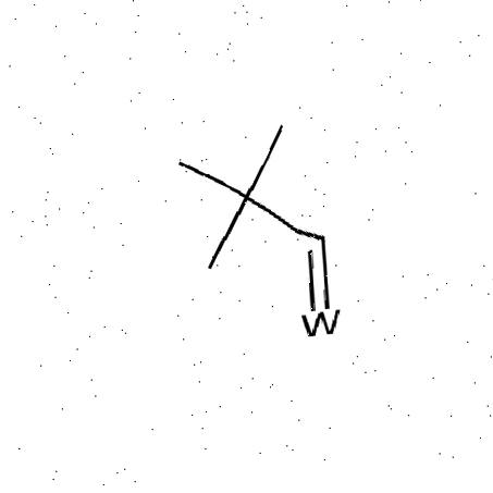 CC(C)(C)[CH]=[W]